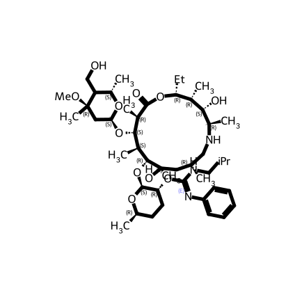 CC[C@H]1OC(=O)[C@H](C)[C@@H](O[C@H]2C[C@@](C)(OC)C(CO)[C@H](C)O2)[C@H](C)[C@@H](O[C@@H]2O[C@H](C)CC[C@H]2O/C(=N/c2ccccc2)NCC(C)C)[C@](C)(O)C[C@@H](C)CN[C@H](C)[C@@H](O)[C@H]1C